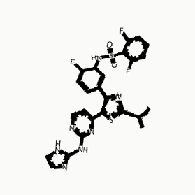 CC(C)c1nc(C2=CC(NS(=O)(=O)c3c(F)cccc3F)C(F)C=C2)c(-c2ccnc(Nc3ncc[nH]3)n2)s1